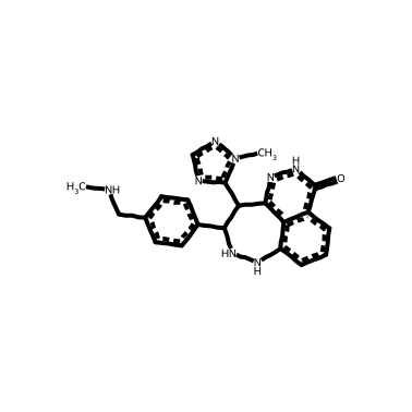 CNCc1ccc(C2NNc3cccc4c(=O)[nH]nc(c34)C2c2ncnn2C)cc1